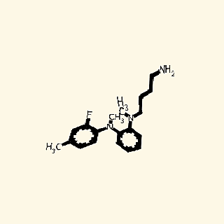 Cc1ccc(N(C)c2ccccc2N(C)CCCCN)c(F)c1